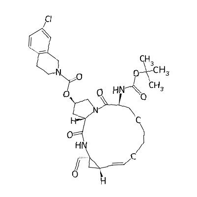 CC(C)(C)OC(=O)N[C@H]1CCCCC/C=C\[C@@H]2C[C@@]2(C=O)NC(=O)[C@@H]2C[C@@H](OC(=O)N3CCc4ccc(Cl)cc4C3)CN2C1=O